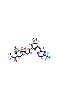 Cc1cc(Nc2nccc(C(F)(F)F)n2)cc(-c2cnc([C@]3(O)CC[C@@H](C(N)=O)C(C)(C)C3)s2)c1